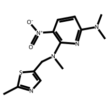 Cc1ncc(CN(C)c2nc(N(C)C)ccc2[N+](=O)[O-])s1